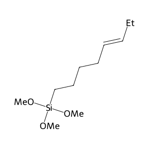 CC/C=C/CCCC[Si](OC)(OC)OC